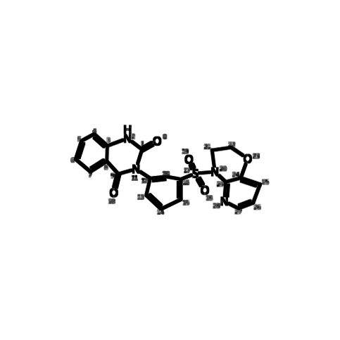 O=c1[nH]c2ccccc2c(=O)n1-c1cccc(S(=O)(=O)N2CCOc3cccnc32)c1